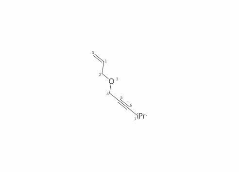 C=CCOCC#C[C](C)C